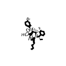 CCCCc1nc(O)c(S(=O)(=O)c2ccc(Br)cc2)c(=O)n1[C@@H](CC)c1cccc(F)c1